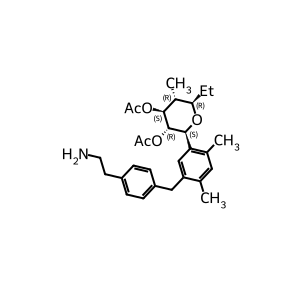 CC[C@H]1O[C@@H](c2cc(Cc3ccc(CCN)cc3)c(C)cc2C)[C@H](OC(C)=O)[C@@H](OC(C)=O)[C@@H]1C